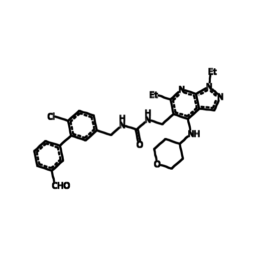 CCc1nc2c(cnn2CC)c(NC2CCOCC2)c1CNC(=O)NCc1ccc(Cl)c(-c2cccc(C=O)c2)c1